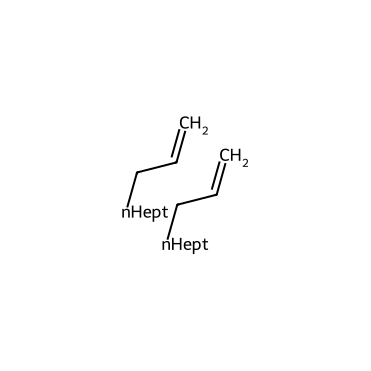 C=CCCCCCCCC.C=CCCCCCCCC